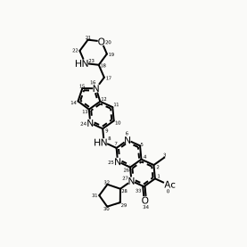 CC(=O)c1c(C)c2cnc(Nc3ccc4c(ccn4CC4COCCN4)n3)nc2n(C2CCCC2)c1=O